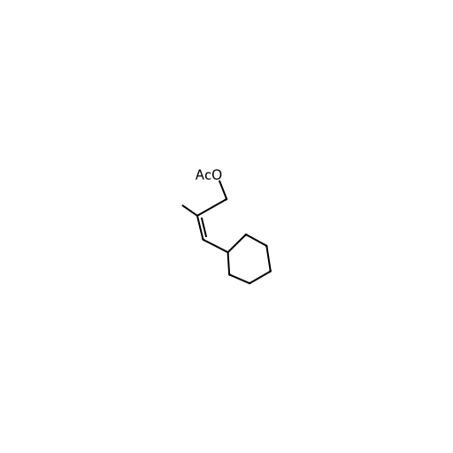 CC(=O)OCC(C)=CC1CCCCC1